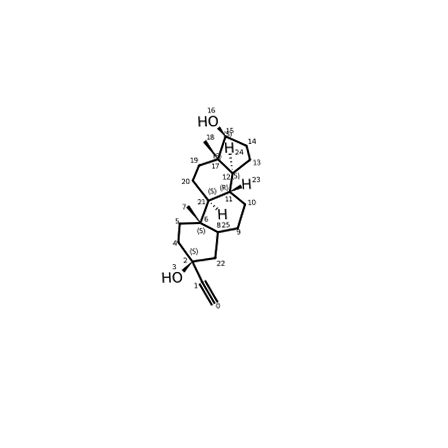 C#C[C@]1(O)CC[C@@]2(C)C(CC[C@H]3[C@@H]4CC[C@H](O)[C@@]4(C)CC[C@@H]32)C1